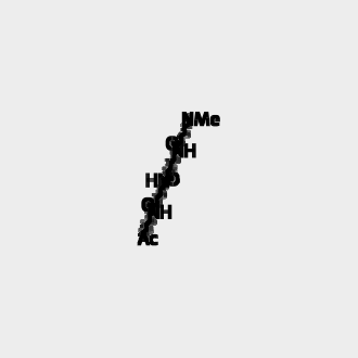 CNCCCCCC(=O)NCCCCCC(=O)NCCCCCC(=O)NCCCCCC(C)=O